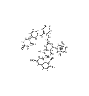 C#Cc1c(F)ccc2cc(O)cc(-c3ncc4c(N5C[C@H]6CC[C@@H](C5)N6)nc(OC[C@@H]5CCCCN5Cc5cccc(C6CCC(=O)NC6=O)c5)nc4c3F)c12